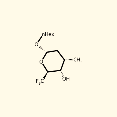 CCCCCCO[C@@H]1C[C@H](C)[C@H](O)[C@@H](C(F)(F)F)O1